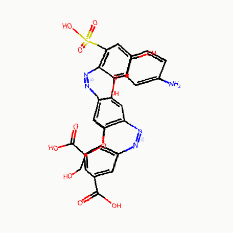 Nc1ccc2cc(S(=O)(=O)O)c(/N=N\c3cc(OCCO)c(/N=N\c4cc(C(=O)O)cc(C(=O)O)c4)cc3OCCO)c(O)c2c1